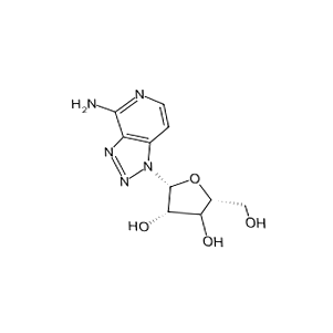 Nc1nccc2c1nnn2[C@@H]1O[C@H](CO)C(O)[C@@H]1O